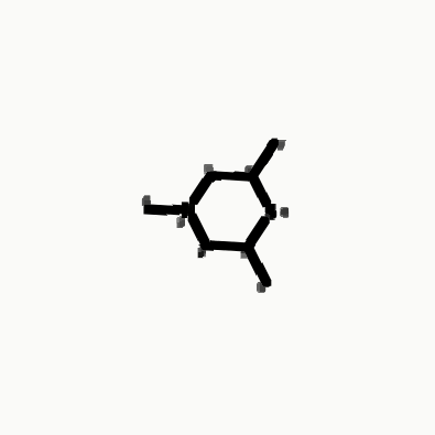 CC1CN(C)CC(C)S1